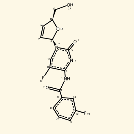 O=C(Nc1nc(=O)n([C@H]2C=C[C@@H](CO)O2)cc1F)c1cccc(F)c1